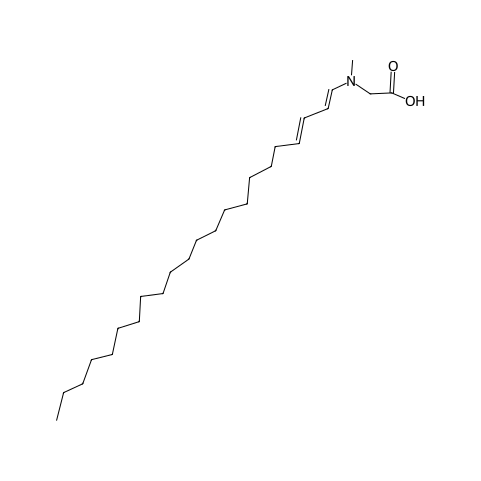 CCCCCCCCCCCCCCCCCCC=CC=CN(C)CC(=O)O